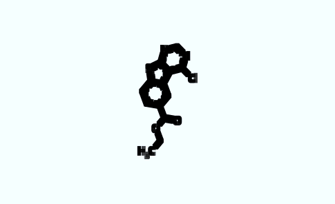 CCOC(=O)c1ccc2sc3ncnc(Cl)c3c2c1